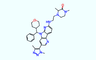 Cc1nnn(C)c1-c1cnc2c3ccc(NCCN4CCN(C)C(=O)C4C)nc3n(C(c3ccccc3)C3CCOCC3)c2c1